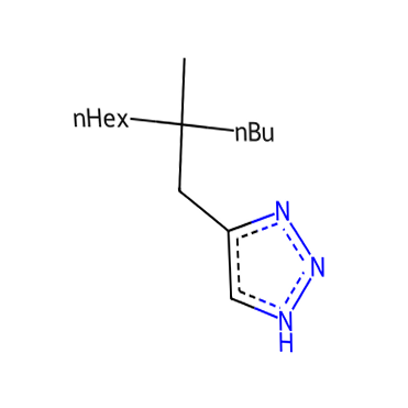 CCCCCCC(C)(CCCC)Cc1c[nH]nn1